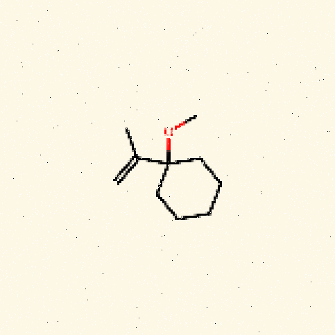 C=C(C)C1(OC)CCCCC1